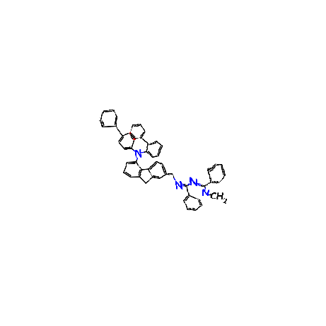 C=N/C(=N\C(=N/Cc1ccc2c(c1)Cc1cccc(N(c3ccc(-c4ccccc4)cc3)c3ccccc3-c3ccccc3)c1-2)c1ccccc1)c1ccccc1